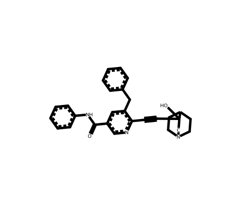 O=C(Nc1ccccc1)c1cnc(C#CC2(O)CN3CCC2CC3)c(Cc2ccccc2)c1